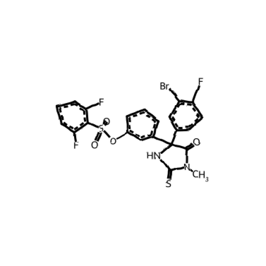 CN1C(=O)C(c2cccc(OS(=O)(=O)c3c(F)cccc3F)c2)(c2ccc(F)c(Br)c2)NC1=S